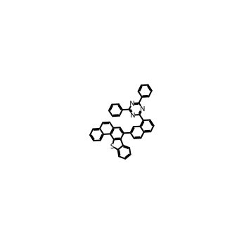 c1ccc(-c2nc(-c3ccccc3)nc(-c3cccc4ccc(-c5cc6ccc7ccccc7c6c6sc7ccccc7c56)cc34)n2)cc1